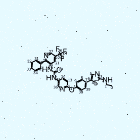 CCNc1ncc(-c2ccc(Oc3ccc(NC(=O)Nc4cc(C(F)(F)F)cnc4-c4ccccc4)cn3)cc2)s1